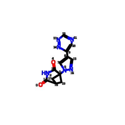 O=C1NC(=O)C2(n3cc(-c4cncnn4)cn3)CC1C2